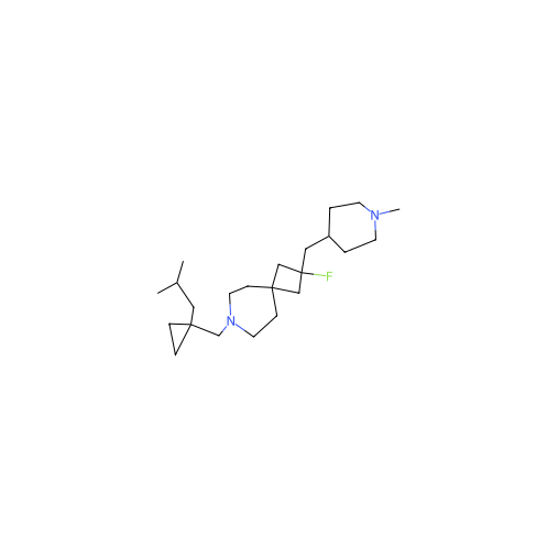 CC(C)CC1(CN2CCC3(CC2)CC(F)(CC2CCN(C)CC2)C3)CC1